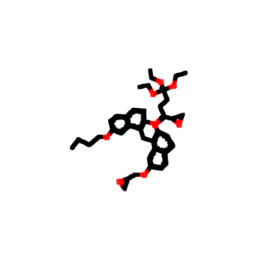 CCCCOc1ccc2ccc(OCC3CO3)c(Cc3c(OCCC[Si](OCC)(OCC)OCC)ccc4ccc(OCC5CO5)cc34)c2c1